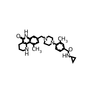 Cc1cc(C(=O)NC2CC2)ccc1N1CCN(Cc2cc(C)c3c4c(c(=O)[nH]c3c2)CCCN4)CC1